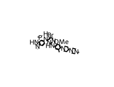 COc1cc(N2CCC(N3CCN(C)CC3)CC2)c(C)cc1Nc1ncc(Br)c(Nc2ccc3c(c2P(C)C)NCN3C)n1